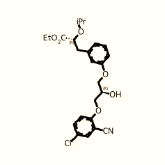 CCOC(=O)[C@@H](Cc1cccc(OC[C@@H](O)COc2ccc(Cl)cc2C#N)c1)OC(C)C